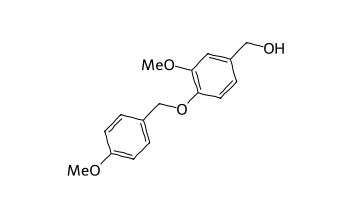 COc1ccc(COc2ccc(CO)cc2OC)cc1